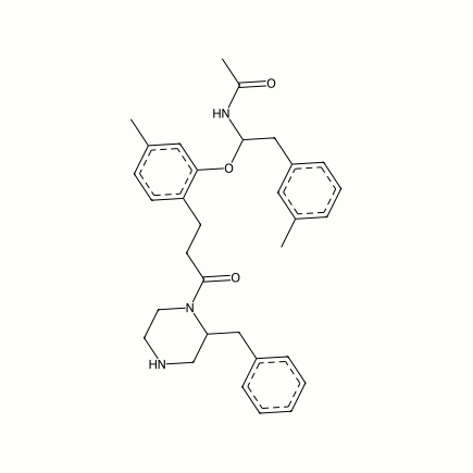 CC(=O)NC(Cc1cccc(C)c1)Oc1cc(C)ccc1CCC(=O)N1CCNCC1Cc1ccccc1